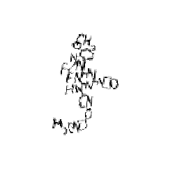 COc1cccc2c1nc(C(F)F)n2-c1nc(Nc2ccc(OC3CCN(C)C3)nc2)nc(N2CCOCC2)n1